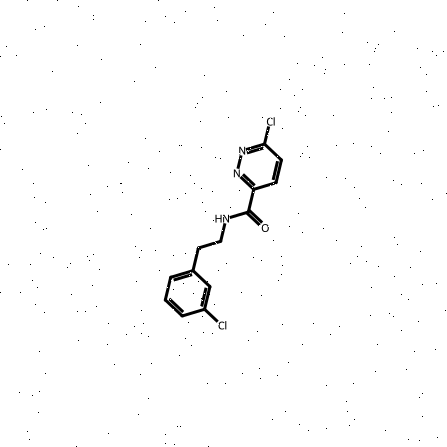 O=C(NCCc1cccc(Cl)c1)c1ccc(Cl)nn1